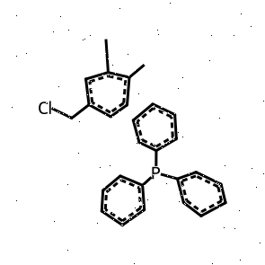 Cc1ccc(CCl)cc1C.c1ccc(P(c2ccccc2)c2ccccc2)cc1